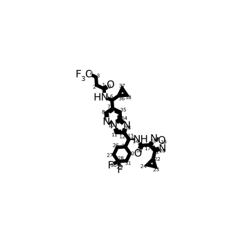 O=C(CCC(F)(F)F)NC(c1cnn2cc([C@@H](NC(=O)c3nonc3C3CC3)C3CCC(F)(F)CC3)nc2c1)C1CC1